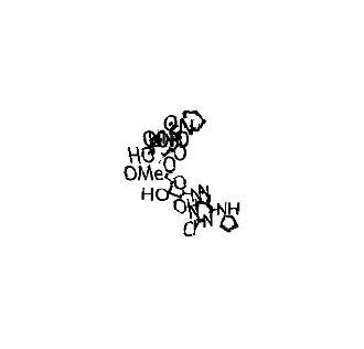 COC[C@@](OC[C@H]1O[C@@H](n2ncc3c(NC4CCCC4)nc(Cl)nc32)[C@H](O)[C@@H]1O)(C(=O)NS(=O)(=O)N1CCCC1)P(=O)(O)O